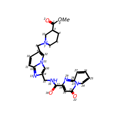 COC(=O)C1CCCN(Cc2ccc3nc(CNC(=O)c4cc(=O)n5ccccc5n4)cn3c2)C1